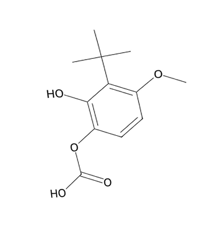 COc1ccc(OC(=O)O)c(O)c1C(C)(C)C